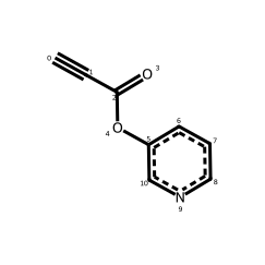 C#CC(=O)Oc1cccnc1